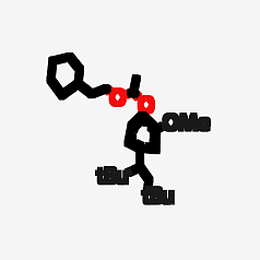 COc1cc(C(CC(C)(C)C)C(C)(C)C)ccc1OC(C)OCCC1CCCCC1